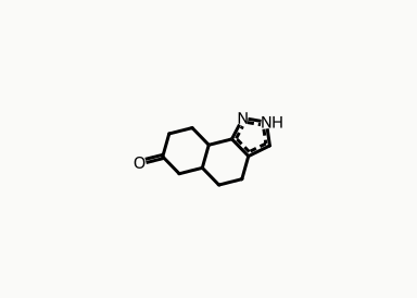 O=C1CCC2c3n[nH]cc3CCC2C1